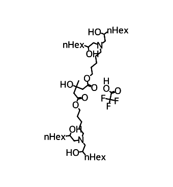 CCCCCCC(O)CN(CCCCCOC(=O)CC(C)(O)CC(=O)OCCCCCN(CC(O)CCCCCC)CC(O)CCCCCC)CC(O)CCCCCC.O=C(O)C(F)(F)F